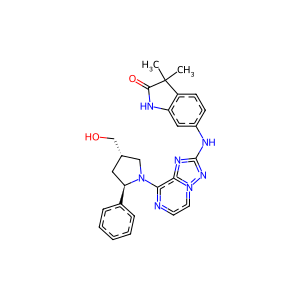 CC1(C)C(=O)Nc2cc(Nc3nc4c(N5C[C@@H](CO)C[C@@H]5c5ccccc5)nccn4n3)ccc21